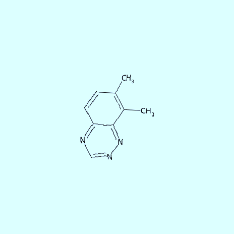 Cc1ccc2ncnnc2c1C